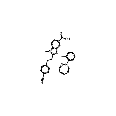 Cc1ccccc1N1C=CC=CC=N1.Cn1c(CCc2ccc(C#N)cc2)nc2cc(C(=O)O)ccc21